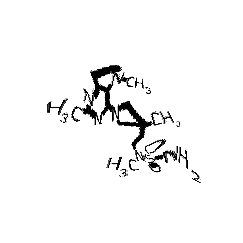 Cc1nc(N2CC(C)(CCN(C)S(N)(=O)=O)C2)c2c(ccn2C)n1